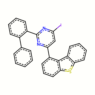 Ic1cc(-c2cccc3sc4ccccc4c23)nc(-c2ccccc2-c2ccccc2)n1